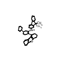 CC1(C)c2ccccc2-c2ccc(Nc3cc(-c4ccccc4)ccc3-c3cccc4sc5ccccc5c34)cc21